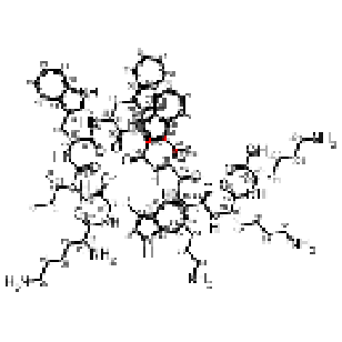 CC[C@H](C)[C@H](NC(=O)[C@H](Cc1c[nH]c2ccccc12)NC(=O)[C@@H](N)CCCCN)C(=O)N[C@@H](Cc1c[nH]c2ccccc12)C(=O)N[C@@H](Cc1c[nH]c2ccccc12)C(=O)N[C@@H](CC(C)C)C(=O)N[C@@H](Cc1c[nH]c2ccccc12)C(=O)N[C@@H](CCCCN)C(=O)N[C@@H](CCCCN)C(=O)N[C@@H](CCCCN)C(=O)O